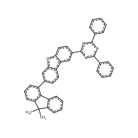 CC1(C)c2ccccc2-c2c(-c3ccc4c(c3)oc3ccc(-c5nc(-c6ccccc6)nc(-c6ccccc6)n5)cc34)cccc21